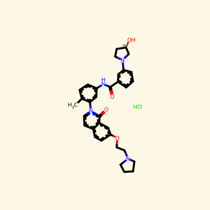 Cc1ccc(NC(=O)c2cccc(N3CC[C@@H](O)C3)c2)cc1-n1ccc2ccc(OCCN3CCCC3)cc2c1=O.Cl